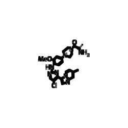 COc1cc(N2CCN(C(=O)[C@H](C)N)CC2)ccc1Nc1ncc(Cl)c(-c2cnc3cc(C)ccn23)n1